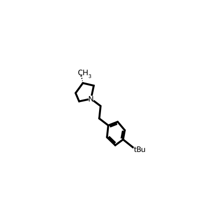 C[C@H]1CCN(CCc2ccc(C(C)(C)C)cc2)C1